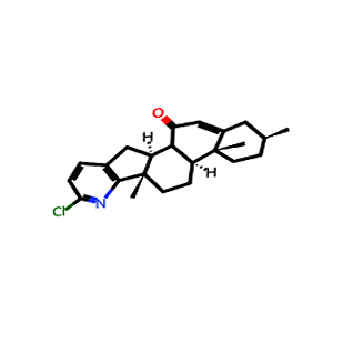 C[C@H]1CC[C@@]2(C)C(=CC(=O)C3[C@@H]2CC[C@]2(C)c4nc(Cl)ccc4C[C@@H]32)C1